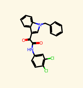 O=C(Nc1ccc(Cl)c(Cl)c1)C(=O)c1cn(Cc2ccccc2)c2ccccc12